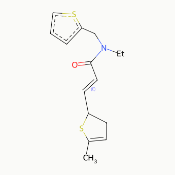 CCN(Cc1cccs1)C(=O)/C=C/C1CC=C(C)S1